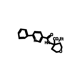 CCOC(=O)C1(NC(=O)c2ccc(-c3ccccc3)nc2)CCOCC1